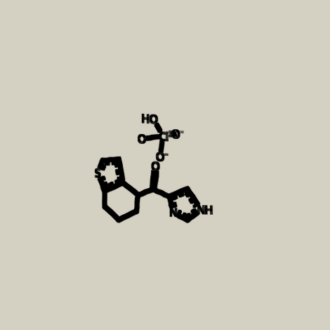 O=C(c1c[nH]cn1)C1CCCc2sccc21.[O-][Cl+3]([O-])([O-])O